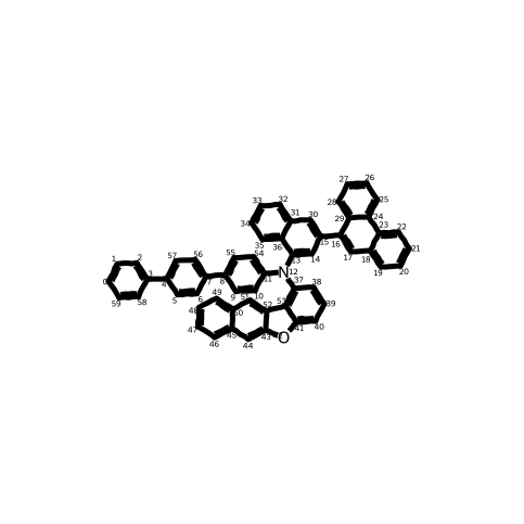 c1ccc(-c2ccc(-c3ccc(N(c4cc(-c5cc6ccccc6c6ccccc56)cc5ccccc45)c4cccc5oc6cc7ccccc7cc6c45)cc3)cc2)cc1